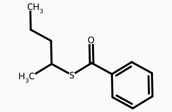 CCCC(C)SC(=O)c1ccccc1